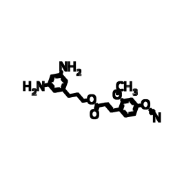 COc1cc(OC#N)ccc1/C=C/C(=O)OCCCc1cc(N)cc(N)c1